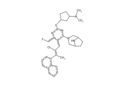 C\C(=C(Cl)/C=c1/c(N2CC3CCC(C2)N3)nc(OC2CCC(N(C)C)C2)n/c1=C\F)c1cccc2ccccc12